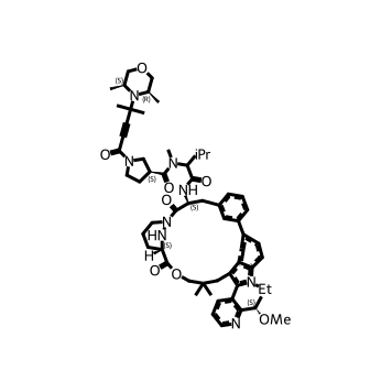 CCn1c(-c2cccnc2[C@H](C)OC)c2c3cc(ccc31)-c1cccc(c1)C[C@H](NC(=O)C(C(C)C)N(C)C(=O)[C@H]1CCN(C(=O)C#CC(C)(C)N3[C@H](C)COC[C@@H]3C)C1)C(=O)N1CCC[C@H](N1)C(=O)OCC(C)(C)C2